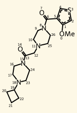 COc1cscc1C(=O)N1CCN(CC(=O)N2CCN(C3CCC3)CC2)CC1